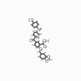 CN(c1ccc(Cl)cc1)c1ccc(C(=O)c2ccc(OCc3ccc4c(c3)OCO4)c(C(=O)O)c2)nc1